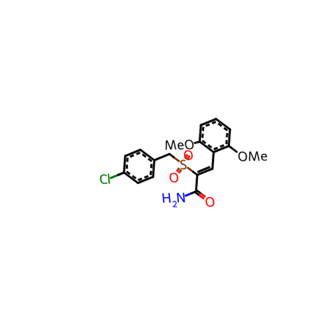 COc1cccc(OC)c1/C=C(/C(N)=O)S(=O)(=O)Cc1ccc(Cl)cc1